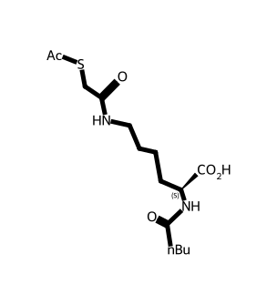 CCCCC(=O)N[C@@H](CCCCNC(=O)CSC(C)=O)C(=O)O